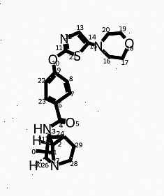 C[C@H]1[C@H](NC(=O)c2ccc(Oc3ncc(N4CCOCC4)s3)cc2)C2CCN1CC2